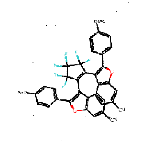 COc1ccc(-c2oc3cc(C#N)ccc3c2C2=C(c3c(-c4ccc(OC)cc4)oc4cc(C#N)ccc34)C(F)(F)C(F)(F)C2(F)F)cc1